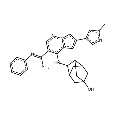 Cn1cc(-c2cc3c(NC4C5CC6CC(O)(C5)CC64)c(/C(N)=N/c4ccccc4)cnn3c2)cn1